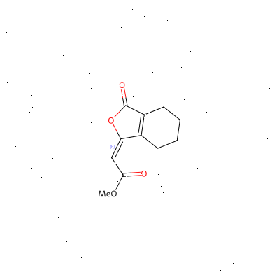 COC(=O)/C=C1/OC(=O)C2=C1CCCC2